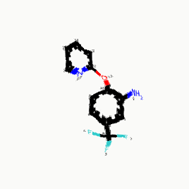 Nc1cc(C(F)(F)F)ccc1Oc1ccccn1